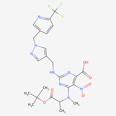 CC(C(=O)OC(C)(C)C)N(C)c1nc(NCc2cnn(Cc3ccc(C(F)(F)F)nc3)c2)nc(C(=O)O)c1[N+](=O)[O-]